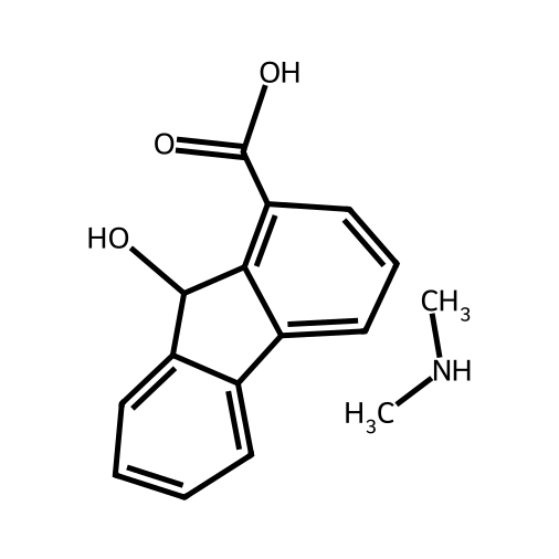 CNC.O=C(O)c1cccc2c1C(O)c1ccccc1-2